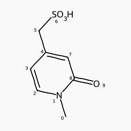 Cn1ccc(CS(=O)(=O)O)cc1=O